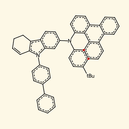 CC(C)(C)c1ccc(N(c2ccc3c4c(n(-c5ccc(-c6ccccc6)cc5)c3c2)C=CCC4)c2cccc3c4ccccc4c4ccccc4c23)cc1